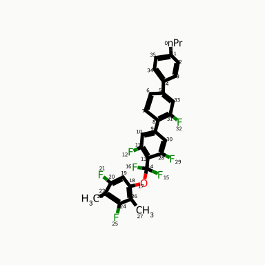 CCCc1ccc(-c2ccc(-c3cc(F)c(C(F)(F)Oc4cc(F)c(C)c(F)c4C)c(F)c3)c(F)c2)cc1